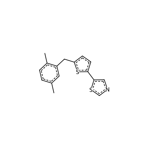 Cc1ccc(C)c(Cc2ccc(-c3cncs3)s2)c1